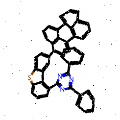 c1ccc(-c2nc(-c3ccccc3)nc(-c3cccc4sc5ccc(-c6ccc7c8cccc9cccc(c%10cccc6c%107)c98)cc5c34)n2)cc1